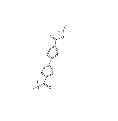 CC(C)(C)OC(=O)c1ccc(-c2ccc(C(=O)C(C)(C)C)cc2)cc1